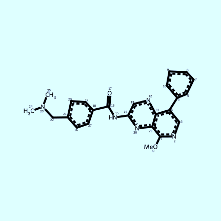 COc1ncc(-c2ccccc2)c2ncc(NC(=O)c3ccc(CN(C)C)cc3)nc12